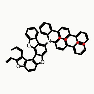 C=Cc1oc2ccc3oc4cc(N(c5ccc(-c6ccccc6)cc5)c5ccccc5-c5ccc(-c6ccccc6)cc5)c5c6ccccc6oc5c4c3c2c1/C=C\C